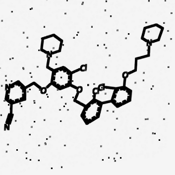 N#Cc1cncc(COc2cc(OCc3cccc(-c4cccc(OCCCN5CCCCC5)c4Cl)c3Cl)c(Cl)cc2CN2CCCCC2)c1